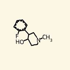 CN1CCC(O)C(c2ccccc2F)C1